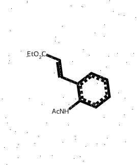 CCOC(=O)/C=C/c1ccccc1NC(C)=O